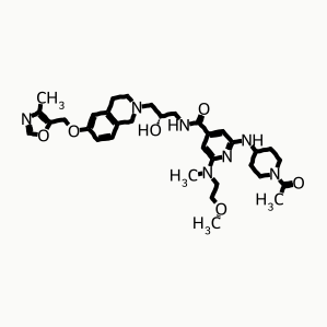 COCCN(C)c1cc(C(=O)NC[C@H](O)CN2CCc3cc(OCc4ocnc4C)ccc3C2)cc(NC2CCN(C(C)=O)CC2)n1